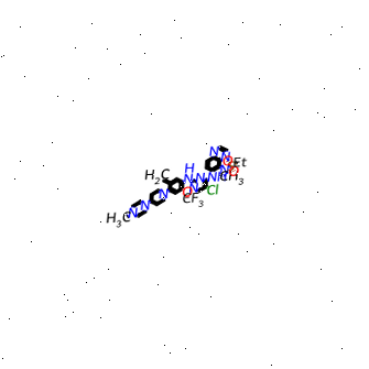 C=Cc1cc(Nc2ncc(Cl)c(Nc3ccc4nccnc4c3N(C)S(=O)(=O)CC)n2)c(OC(F)(F)F)cc1N1CCC(N2CCN(C)CC2)CC1